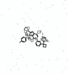 Cc1ccc(S(=O)(=O)n2c(C3OCCO3)cc3c(C(F)(F)F)cn(-c4cccc(C5(c6nncn6C)CCC5)c4)c(=O)c32)cc1